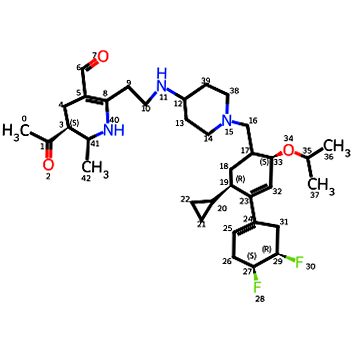 CC(=O)[C@H]1CC(C=O)=C(CCNC2CCN(CC3C[C@H](C4CC4)C(C4=CC[C@H](F)[C@H](F)C4)=C[C@@H]3OC(C)C)CC2)NC1C